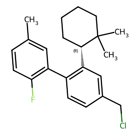 Cc1ccc(F)c(-c2ccc(CCl)cc2[C@@H]2CCCCC2(C)C)c1